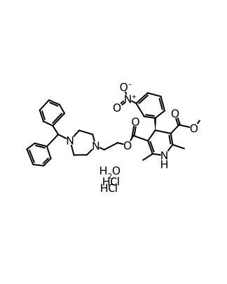 COC(=O)C1=C(C)NC(C)=C(C(=O)OCCN2CCN(C(c3ccccc3)c3ccccc3)CC2)[C@H]1c1cccc([N+](=O)[O-])c1.Cl.Cl.O